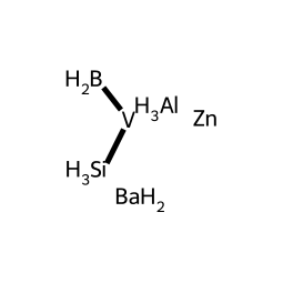 [AlH3].[BH2][V][SiH3].[BaH2].[Zn]